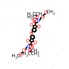 COCCOCCN(CC(=O)C1C(=O)c2ccc(Oc3ccc4c(c3)C(=O)C(C(=O)CN(CCOCCOC)C(=O)OC(C)(C)C)C4=O)cc2C1=O)C(=O)OC(C)(C)C